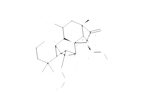 C=C1[C@H]2CC(OC(C)=O)C3[C@]45CCCC(C)(C)C4[C@H](OOCC)[C@](O)(OC5)[C@@]3([C@@H]1OOCC)[C@@H]2O